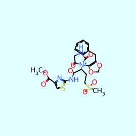 COC(=O)c1csc(NC(=O)C(CCS(C)(=O)=O)[N+]2(C3=C(Cc4ccccc4)OCO3)C(=O)CNC2=O)n1